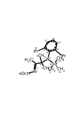 CCCCCCCC/N=C(\C)C(C)(C)[N](c1c(C(C)C)cccc1C(C)C)[Hf]([CH3])([CH3])[CH3]